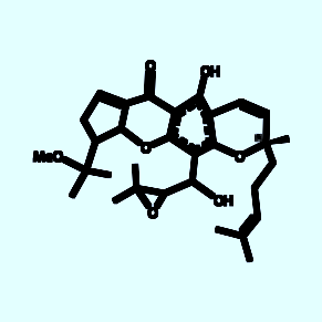 COC(C)(C)C1CC=C2C(=O)c3c(O)c4c(c(C(O)C5OC5(C)C)c3OC21)O[C@@](C)(CCC=C(C)C)C=C4